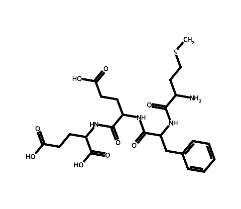 CSCCC(N)C(=O)NC(Cc1ccccc1)C(=O)NC(CCC(=O)O)C(=O)NC(CCC(=O)O)C(=O)O